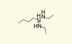 CCCC[SiH](NCC)NCC